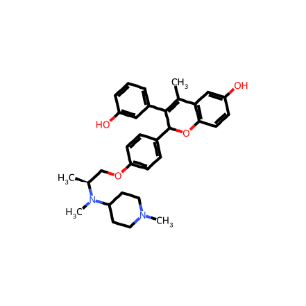 CC1=C(c2cccc(O)c2)C(c2ccc(OC[C@H](C)N(C)C3CCN(C)CC3)cc2)Oc2ccc(O)cc21